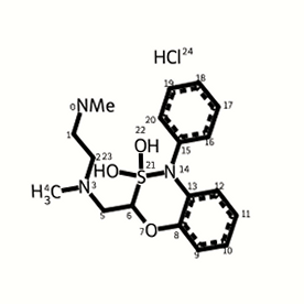 CNCCN(C)CC1Oc2ccccc2N(c2ccccc2)S1(O)O.Cl